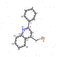 BrCc1cc(-c2ccccc2)nc2ccccc12